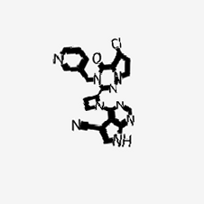 N#Cc1c[nH]c2ncnc(N3CC[C@H]3c3nn4ccc(Cl)c4c(=O)n3Cc3cccnc3)c12